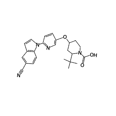 CC(C)(C)C1CC(Oc2ccc(-n3ccc4cc(C#N)ccc43)nc2)CCN1C(=O)O